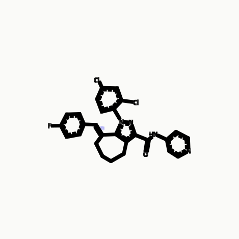 O=C(Nc1ccncc1)c1nn(-c2ccc(Cl)cc2Cl)c2c1CCCC/C2=C\c1ccc(F)cc1